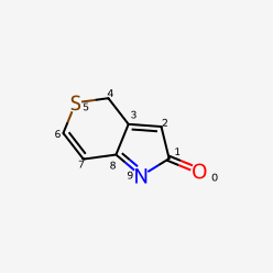 O=C1C=C2CSC=CC2=N1